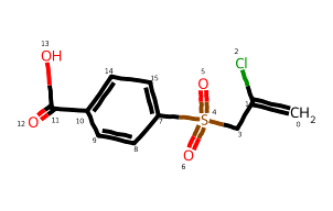 C=C(Cl)CS(=O)(=O)c1ccc(C(=O)O)cc1